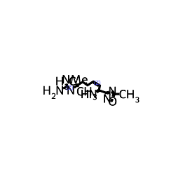 CN/C(N)=N\C(C)(C)CC/C=C\C(=N)c1noc(C)n1